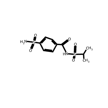 CC(C)S(=O)(=O)NC(=O)c1ccc(S(N)(=O)=O)cc1